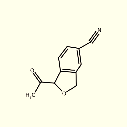 CC(=O)C1OCc2cc(C#N)ccc21